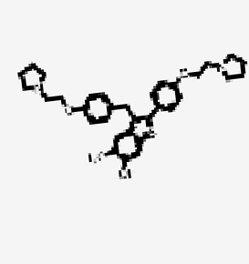 Cc1cc2c(Cc3ccc(OCCN4CCCC4)cc3)c(-c3ccc(OCCN4CCCC4)cc3)sc2cc1O